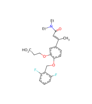 CCN(CC)C(=O)C=C(C)c1ccc(OCc2c(F)cccc2F)c(OCCC(=O)O)c1